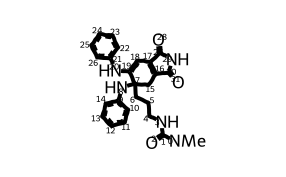 CNC(=O)NCCCC1(Nc2ccccc2)CC2=C(C=C1Nc1ccccc1)C(=O)NC2=O